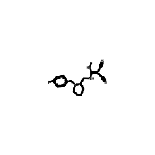 CNC(NCC1CCCCN1Cc1ccc(F)cc1)=C(C#N)C#N